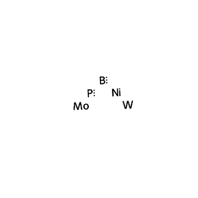 [B].[Mo].[Ni].[P].[W]